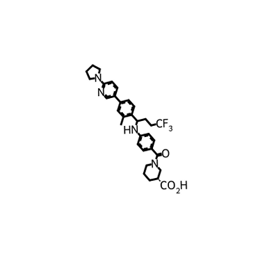 Cc1cc(-c2ccc(N3CCCC3)nc2)ccc1C(CCC(F)(F)F)Nc1ccc(C(=O)N2CCC[C@@H](C(=O)O)C2)cc1